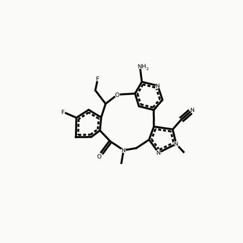 CN1Cc2nn(C)c(C#N)c2-c2cnc(N)c(c2)OC(CF)c2cc(F)ccc2C1=O